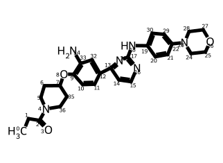 CCC(=O)N1CCC(Oc2ccc(-c3ccnc(Nc4ccc(N5CCOCC5)cc4)n3)cc2N)CC1